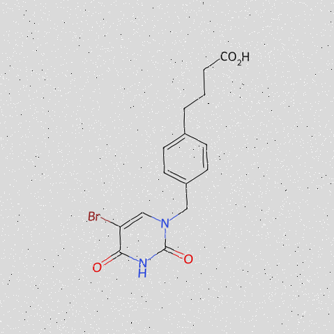 O=C(O)CCCc1ccc(Cn2cc(Br)c(=O)[nH]c2=O)cc1